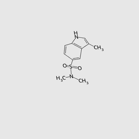 Cc1c[nH]c2ccc(S(=O)(=O)N(C)C)cc12